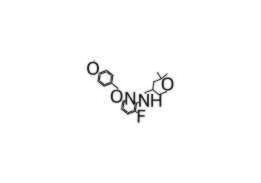 COc1ccc(COc2ccc(F)c(NCC3CCOC(C)(C)C3)n2)cc1